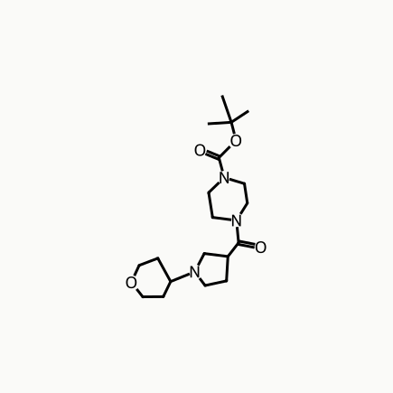 CC(C)(C)OC(=O)N1CCN(C(=O)C2CCN(C3CCOCC3)C2)CC1